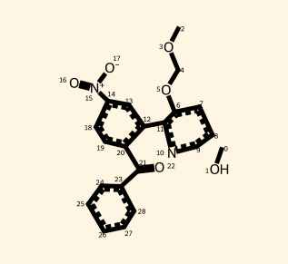 CO.COCOc1cccnc1-c1cc([N+](=O)[O-])ccc1C(=O)c1ccccc1